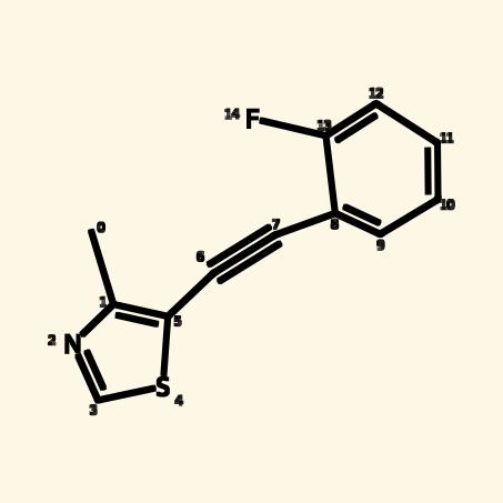 Cc1ncsc1C#Cc1ccccc1F